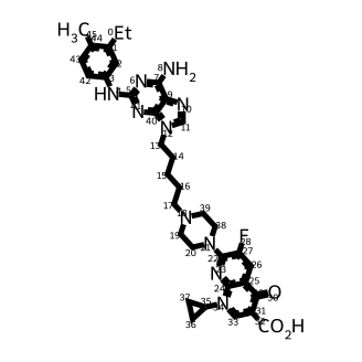 CCc1cc(Nc2nc(N)c3ncn(CCCCCN4CCN(c5nc6c(cc5F)c(=O)c(C(=O)O)cn6C5CC5)CC4)c3n2)ccc1C